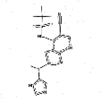 CN(c1ccc2ncc(C#N)c(NS(=O)(=O)C(C)(C)C)c2c1)c1cnc[nH]1